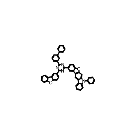 c1ccc(-c2cccc(-c3nc(-c4ccc5oc6ccccc6c5c4)nc(-c4ccc5oc6cc7c(cc6c5c4)c4ccccc4n7-c4ccccc4)n3)c2)cc1